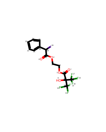 O=C(OCCOC(=O)C(O)(C(F)(F)F)C(F)(F)F)C(I)c1ccccc1